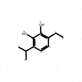 CCc1ccc(C(C)C)c(O)c1O